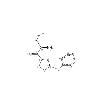 CC(C)C[C@@H](N)C(=O)C1CCN(Cc2ccccc2)C1